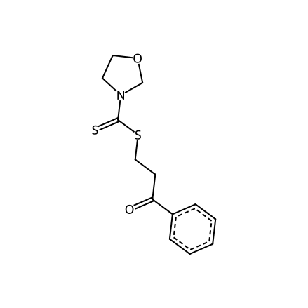 O=C(CCSC(=S)N1CCOC1)c1ccccc1